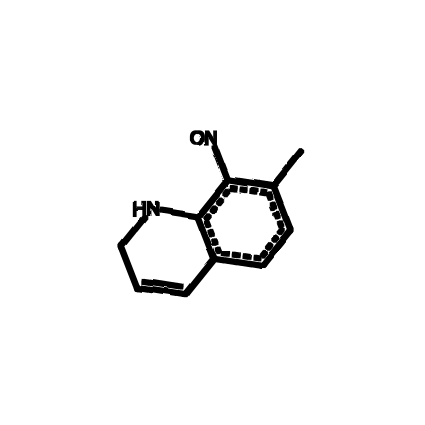 Cc1ccc2c(c1N=O)NCC=C2